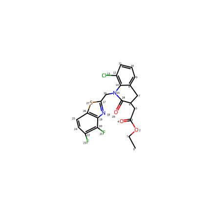 CCOC(=O)CC1Cc2cccc(Cl)c2N(Cc2nc3c(F)c(F)ccc3s2)C1=O